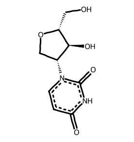 O=c1ccn([C@@H]2CO[C@H](CO)[C@H]2O)c(=O)[nH]1